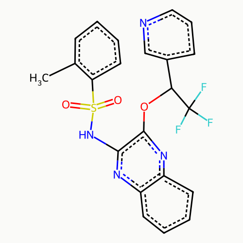 Cc1ccccc1S(=O)(=O)Nc1nc2ccccc2nc1OC(c1cccnc1)C(F)(F)F